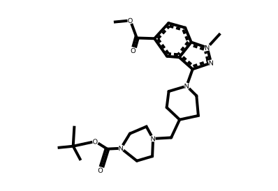 COC(=O)c1ccc2c(c1)c(N1CCC(CN3CCN(C(=O)OC(C)(C)C)CC3)CC1)nn2C